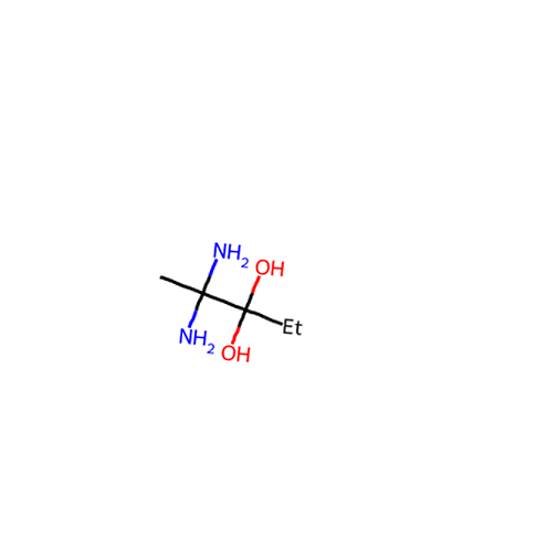 CCC(O)(O)C(C)(N)N